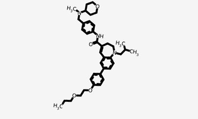 CCCOCCOc1ccc(-c2ccc3c(c2)C=C(C(=O)Nc2ccc(CN(C)C4CCOCC4)cc2)CCN3CC(C)C)cc1